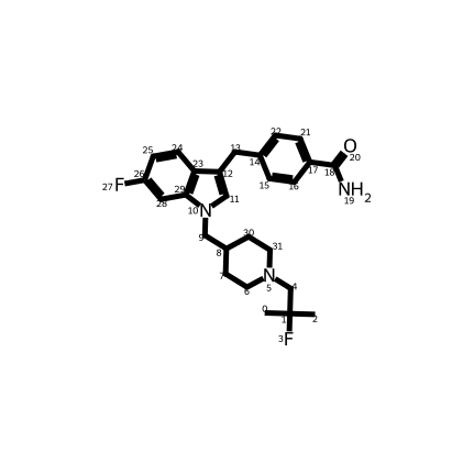 CC(C)(F)CN1CCC(Cn2cc(Cc3ccc(C(N)=O)cc3)c3ccc(F)cc32)CC1